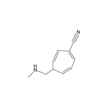 CNCC1C=CC=C(C#N)C=C1